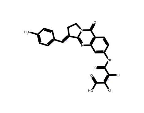 Nc1ccc(/C=C2\CCn3c2nc2cc(NC(=O)/C(Cl)=C(/Cl)C(=O)O)ccc2c3=O)cc1